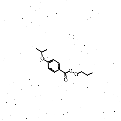 [CH2]CCOOC(=O)c1ccc(OC(C)C)cc1